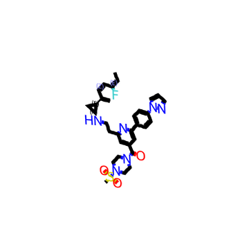 C=C(/C=C\C(F)=C/C)[C@@H]1C[C@H]1NCCc1cc(C(=O)N2CCN(S(C)(=O)=O)CC2)cc(-c2ccc(-n3cccn3)cc2)n1